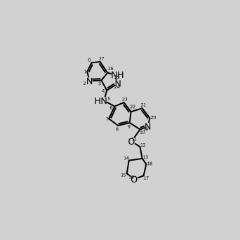 c1cnc2c(Nc3ccc4c(OCC5CCOCC5)nccc4c3)n[nH]c2c1